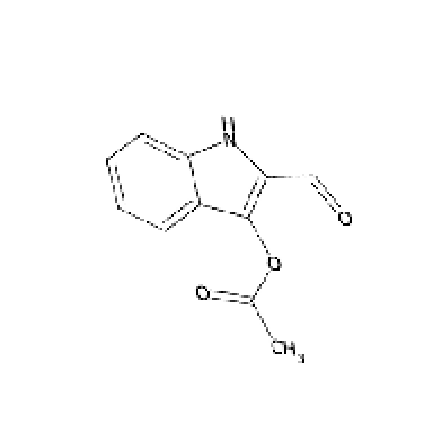 CC(=O)Oc1c(C=O)[nH]c2ccccc12